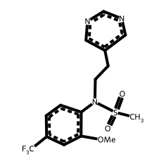 COc1cc(C(F)(F)F)ccc1N(CCc1cncnc1)S(C)(=O)=O